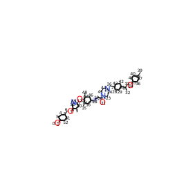 COc1ccc(COc2ccc(Oc3c(C)cc(/C=C/C(=O)N4CCN(Cc5ccc(C(C)COc6ccc(C)cc6)cc5)CC4)cc3C)nc2)cc1